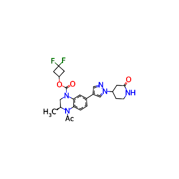 CC(=O)N1c2ccc(-c3cnn(C4CCNC(=O)C4)c3)cc2N(C(=O)OC2CC(F)(F)C2)C[C@@H]1C